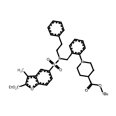 CCOC(=O)c1oc2ccc(S(=O)(=O)N(CCc3ccccc3)Cc3ccccc3N3CCC(C(=O)OC(C)(C)C)CC3)cc2c1C